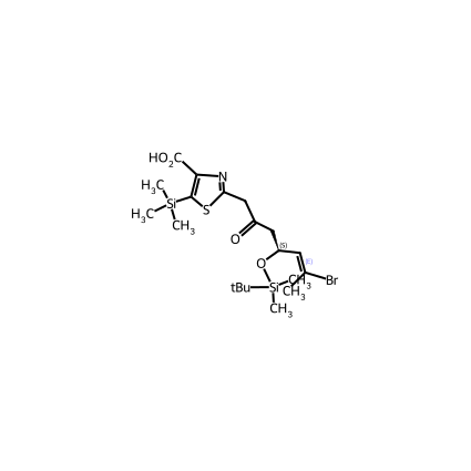 C/C(Br)=C\[C@H](CC(=O)Cc1nc(C(=O)O)c([Si](C)(C)C)s1)O[Si](C)(C)C(C)(C)C